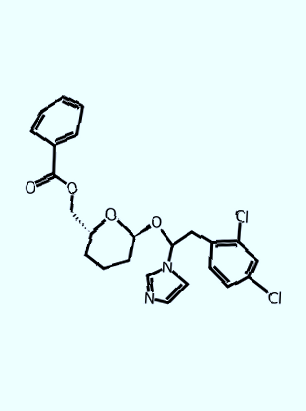 O=C(OC[C@H]1CCC[C@H](OC(Cc2ccc(Cl)cc2Cl)n2ccnc2)O1)c1ccccc1